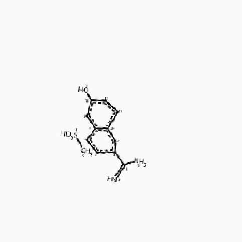 CS(=O)(=O)O.N=C(N)c1ccc2cc(O)ccc2c1